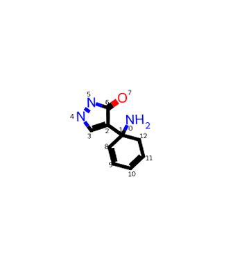 NC1(C2=CN=NC2=O)C=CC=CC1